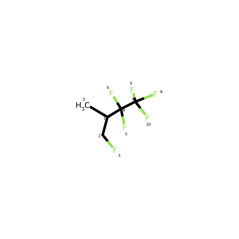 C[C](CF)C(F)(F)C(F)(F)F